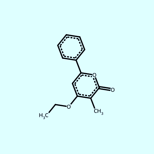 CCOc1cc(-c2ccccc2)oc(=O)c1C